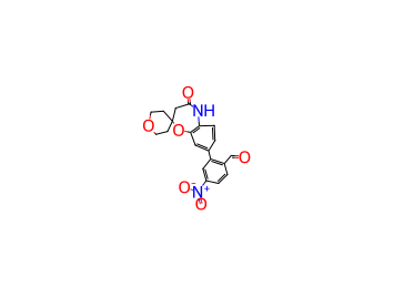 O=Cc1ccc([N+](=O)[O-])cc1-c1ccc2c(c1)OC1(CCOCC1)CC(=O)N2